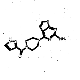 Nc1nc(N2CCN(C(=O)c3cc[nH]n3)CC2)c2ccsc2n1